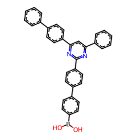 OB(O)c1ccc(-c2ccc(-c3nc(-c4ccccc4)cc(-c4ccc(-c5ccccc5)cc4)n3)cc2)cc1